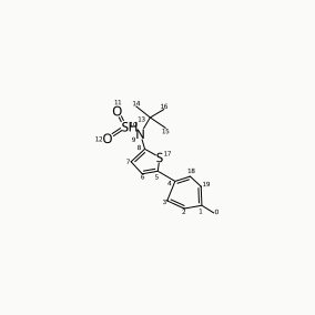 Cc1ccc(-c2ccc(N([SH](=O)=O)C(C)(C)C)s2)cc1